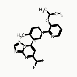 CC1=CCN(c2ncccc2OC(C)C)C[C@H]1c1cc(C(F)F)nc2ncnn12